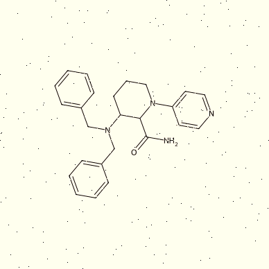 NC(=O)C1C(N(Cc2ccccc2)Cc2ccccc2)CCCN1c1[c]cncc1